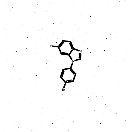 Fc1ccc2n[c]n(-c3ccc(Br)cc3)c2c1